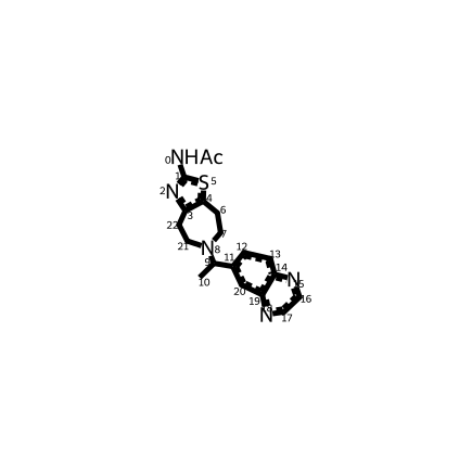 CC(=O)Nc1nc2c(s1)CCN(C(C)c1ccc3nccnc3c1)CC2